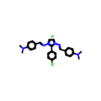 CN(C)c1ccc(C=Nn2cc[n+](N=Cc3ccc(N(C)C)cc3)c2-c2ccc(Cl)cc2)cc1.[Cl-]